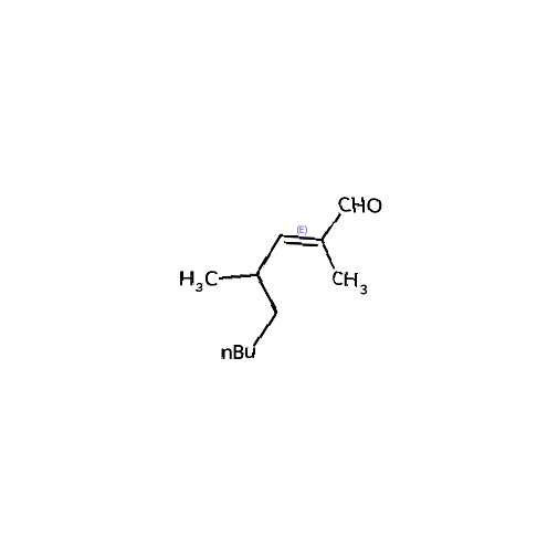 CCCCCC(C)/C=C(\C)C=O